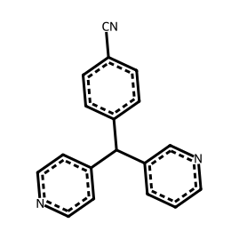 N#Cc1ccc(C(c2ccncc2)c2cccnc2)cc1